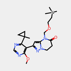 COc1ncnc(C2(C)CC2)c1-c1cc2n(n1)CCC(=O)N2COCC[Si](C)(C)C